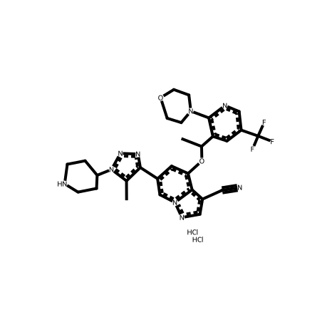 Cc1c(-c2cc(OC(C)c3cc(C(F)(F)F)cnc3N3CCOCC3)c3c(C#N)cnn3c2)nnn1C1CCNCC1.Cl.Cl